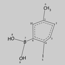 Cc1ccc(I)c(B(O)O)c1